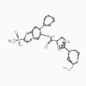 Cc1cc(-c2nc(C(=O)Nc3cn4cc(S(C)(=N)=O)nc4cc3-c3ccccc3)co2)ccn1